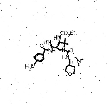 CCOC(=O)NC1=C(C(=N)NC(=O)c2ccc(N)cc2)CN(C(=O)N[C@H](CN(C)C)C2CCOCC2)C1(C)C